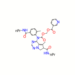 CCCNC(=O)c1ccc(C)c(N(C(=O)OCOC(=O)c2cccnc2)C2=NC=NN3CC(C(=O)NCCC)C(C)=C23)c1